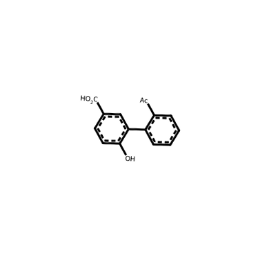 CC(=O)c1ccccc1-c1cc(C(=O)O)ccc1O